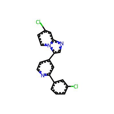 Clc1cccc(-c2cc(-c3cnc4cc(Cl)ccn34)ccn2)c1